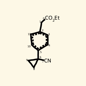 CCOC(=O)Cc1ccc(C2(C#N)CC2)cc1